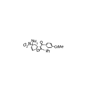 COc1ccc(C(=O)c2c(C(C)C)oc3c2CC(N)([N+](=O)[O-])C=C3)cc1